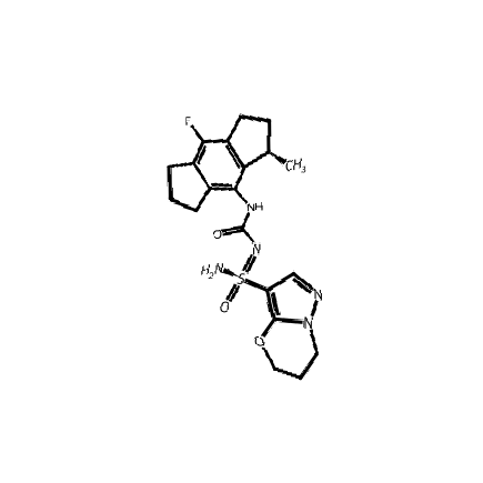 C[C@@H]1CCc2c(F)c3c(c(NC(=O)N=[S@@](N)(=O)c4cnn5c4OCCC5)c21)CCC3